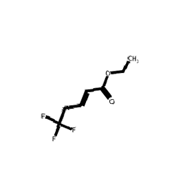 CCOC(=O)C=CCC(F)(F)F